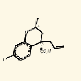 C=CC[C@]1(C(=O)O)C[C@H](C)Oc2cc(F)ccc21